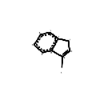 IC1=CCc2ccccc21